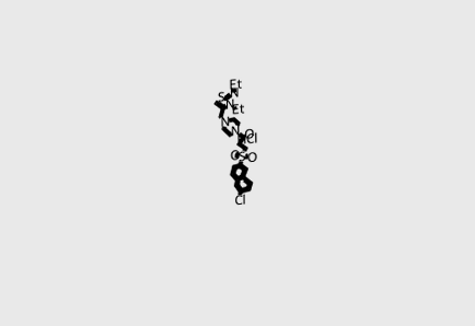 CC/N=c1\scc(CN2CCN(C(=O)CCS(=O)(=O)c3ccc4cc(Cl)ccc4c3)CC2)n1CC.Cl